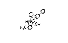 O=C([C@@H]1CNC[C@]12CNCc1c(C(F)(F)F)cccc12)N1CC[C@@H](c2ccccc2)C[C@H]1C1CCCCC1